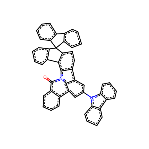 O=c1c2ccccc2c2cc(-n3c4ccccc4c4ccccc43)cc3c4ccc5c(c4n1c23)-c1ccccc1C51c2ccccc2-c2ccccc21